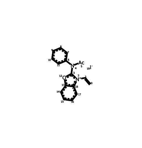 C=C[n+]1c(N(C(C)=O)c2ccccc2)oc2ccccc21.[I-]